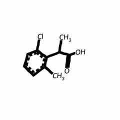 Cc1cccc(Cl)c1C(C)C(=O)O